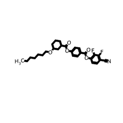 CCCCCCCOC1CCCC(C(=O)Oc2ccc(C(=O)Oc3ccc(C#N)c(F)c3F)cc2)C1